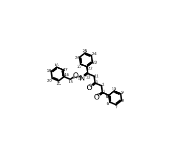 O=C(CC(=O)c1ccccc1)CC(=NOCc1ccccc1)c1ccccc1